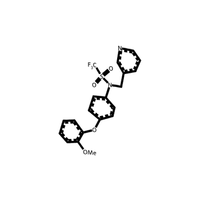 COc1ccccc1Oc1ccc(N(Cc2cccnc2)S(=O)(=O)C(F)(F)F)cc1